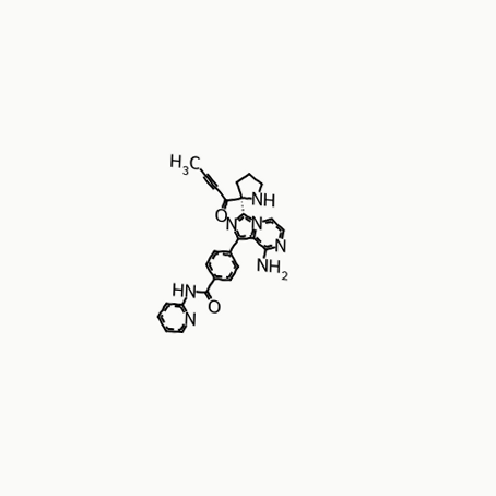 CC#CC(=O)[C@@]1(c2nc(-c3ccc(C(=O)Nc4ccccn4)cc3)c3c(N)nccn23)CCCN1